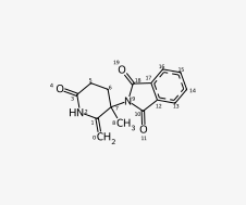 C=C1NC(=O)CCC1(C)N1C(=O)c2ccccc2C1=O